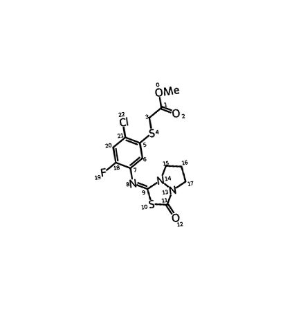 COC(=O)CSc1cc(N=c2sc(=O)n3n2CCC3)c(F)cc1Cl